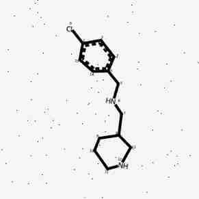 Clc1ccc(CNCC2CCCNC2)cc1